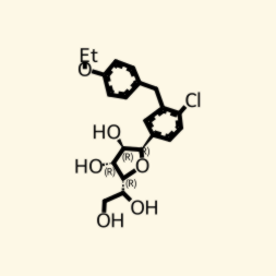 CCOc1ccc(Cc2cc([C@H]3O[C@H](C(O)CO)[C@H](O)[C@H]3O)ccc2Cl)cc1